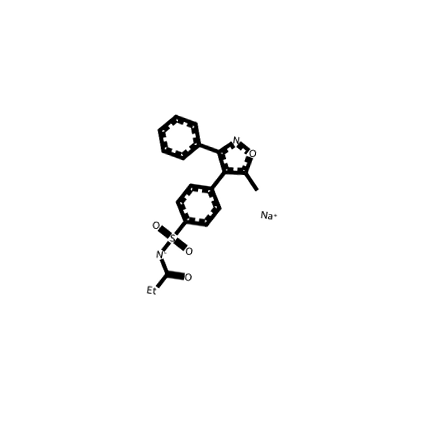 CCC(=O)[N-]S(=O)(=O)c1ccc(-c2c(-c3ccccc3)noc2C)cc1.[Na+]